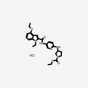 CCOC(=O)N1CCC(Nc2ccc(NC(=O)c3cc4c(OCC)cccc4n3CC)cn2)C1.Cl